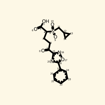 O=C([CH]CC(C(=O)O)S(=O)(=O)CC1CC1)c1noc(-c2ccccc2)n1